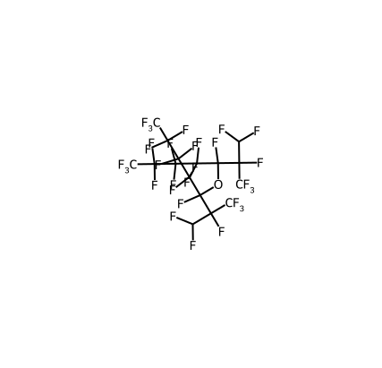 FC(F)C(F)(C(F)(F)F)C(F)(OC(F)(C(F)(F)C(F)(F)C(F)(F)C(F)(F)F)C(F)(C(F)F)C(F)(F)F)C(F)(F)C(F)(F)C(F)(F)C(F)(F)F